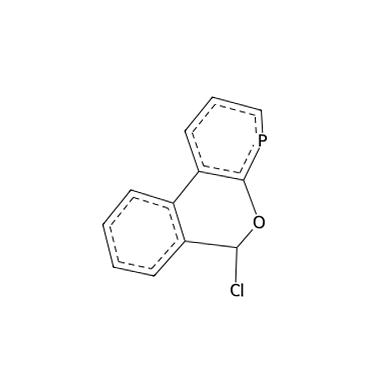 ClC1Oc2pcccc2-c2ccccc21